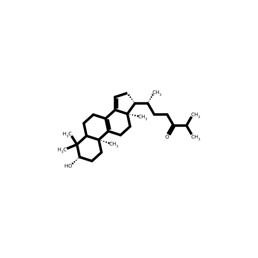 CC(C)C(=O)CC[C@@H](C)[C@H]1CC=C2C3=C(CC[C@@]21C)[C@@]1(C)CC[C@H](O)C(C)(C)C1CC3